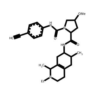 C#Cc1ccc(NC(=O)N2CC(OC)CC2C(=O)NC2CC3=C(CCN(CC)C3C)CC2C)cc1